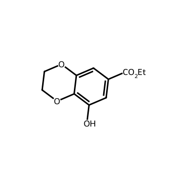 CCOC(=O)c1cc(O)c2c(c1)OCCO2